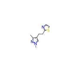 Cc1nn(C)cc1CCc1nccs1